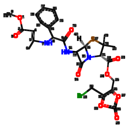 CCCOC(=O)C=C(C)NC(C(=O)N[C@@H]1C(=O)N2[C@@H]1SC(C)(C)[C@@H]2C(=O)OCc1oc(=O)oc1CBr)c1ccccc1